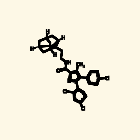 Cc1c(C(=O)NCCC2[C@H]3C[C@@H]4C[C@@H](C[C@H]2C4)C3)nn(-c2ccc(Cl)cc2Cl)c1-c1ccc(Cl)cc1